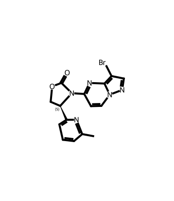 Cc1cccc([C@H]2COC(=O)N2c2ccn3ncc(Br)c3n2)n1